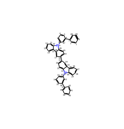 c1ccc(-c2cccc(-n3c4ccccc4c4cc(-c5ccc6c(c5)c5ccccc5n6-c5cccc(-c6ccccc6)c5)ccc43)c2)cc#1